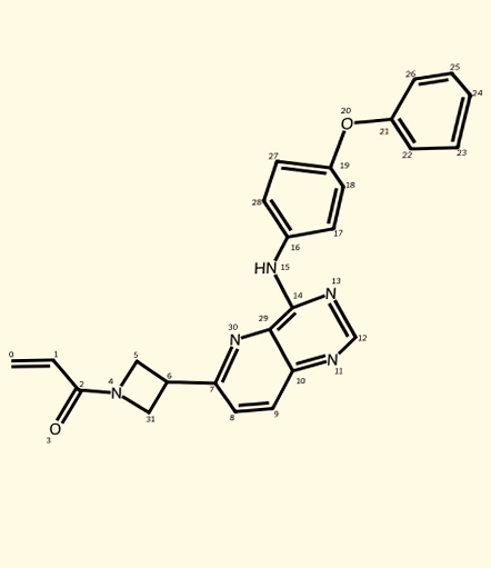 C=CC(=O)N1CC(c2ccc3ncnc(Nc4ccc(Oc5ccccc5)cc4)c3n2)C1